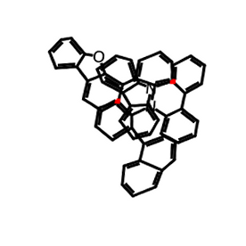 c1ccc(N(c2ccccc2-c2cccc3ccccc23)c2ccccc2-c2cccc3c2oc2ccccc23)c(-c2ccccc2-n2c3ccccc3c3ccccc32)c1